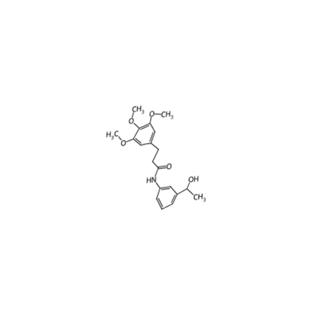 COc1cc(CCC(=O)Nc2cccc(C(C)O)c2)cc(OC)c1OC